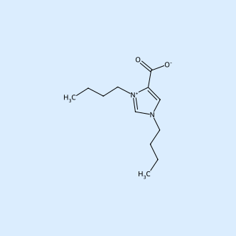 CCCCn1cc(C(=O)[O-])[n+](CCCC)c1